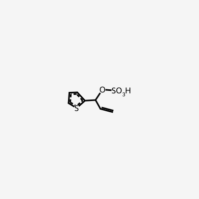 C=CC(OS(=O)(=O)O)c1cccs1